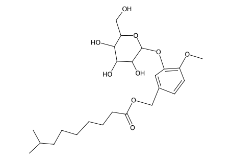 COc1ccc(COC(=O)CCCCCCC(C)C)cc1OC1OC(CO)C(O)C(O)C1O